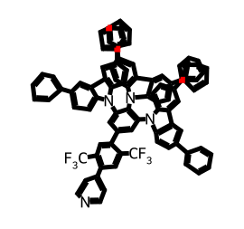 FC(F)(F)c1cc(-c2cc(-n3c4ccc(-c5ccccc5)cc4c4cc(-c5ccccc5)ccc43)c(-n3c4ccc(-c5ccccc5)cc4c4cc(-c5ccccc5)ccc43)c(-n3c4ccc(-c5ccccc5)cc4c4cc(-c5ccccc5)ccc43)c2)c(C(F)(F)F)cc1-c1ccncc1